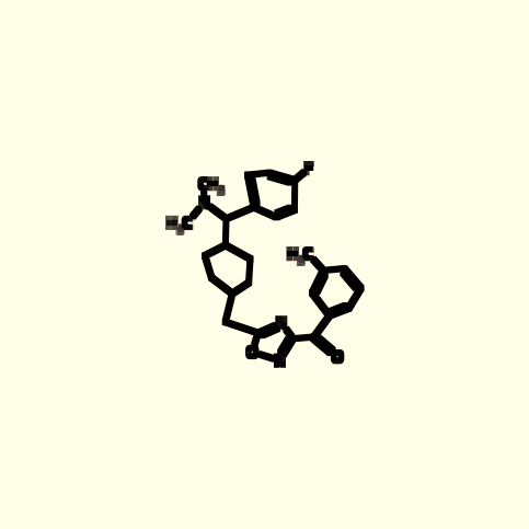 Cc1cccc(C(=O)c2noc(CC3CCC(C(c4ccc(F)cc4)N(C)C)CC3)n2)c1